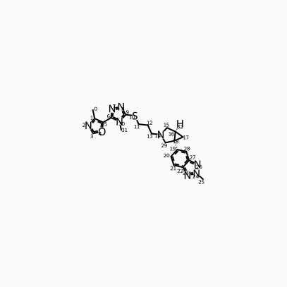 Cc1ncoc1-c1nnc(SCCCN2C[C@H]3C[C@@]3(c3ccc4nn(C)nc4c3)C2)n1C